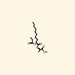 CCC(=O)O.CCCCCCCCCC(=O)N=C(C)C(=O)O